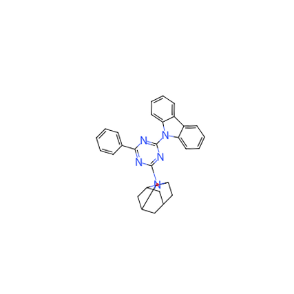 c1ccc(-c2nc(N3C4CC5CC(C4)CC3C5)nc(-n3c4ccccc4c4ccccc43)n2)cc1